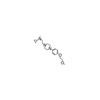 COCCOc1ccc(N2CCN(CCN(C)C3CC3)CC2)cc1